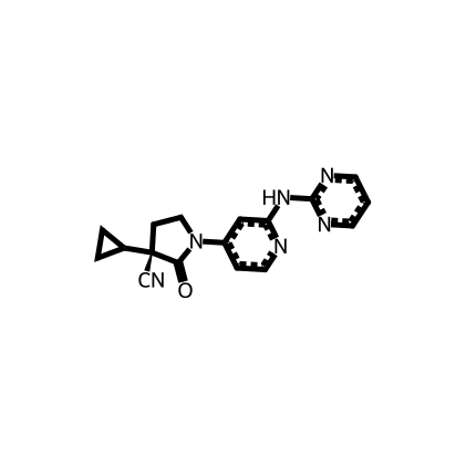 N#C[C@@]1(C2CC2)CCN(c2ccnc(Nc3ncccn3)c2)C1=O